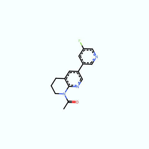 CC(=O)N1CCCc2cc(-c3cncc(F)c3)cnc21